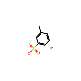 Cc1cccc(S(=O)(=O)[O-])c1.[Tl+]